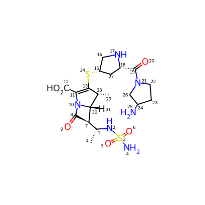 C[C@@H](NS(N)(=O)=O)[C@H]1C(=O)N2C(C(=O)O)=C(S[C@@H]3CN[C@H](C(=O)N4CCC(N)C4)C3)[C@H](C)[C@H]12